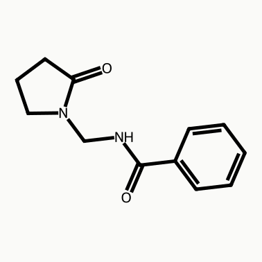 O=C(NCN1CCCC1=O)c1ccccc1